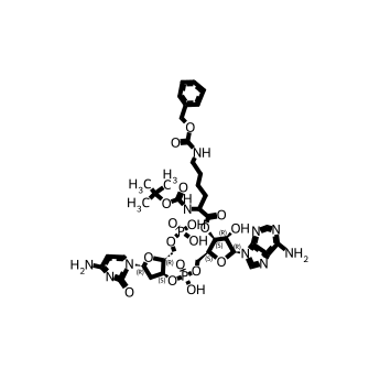 CC(C)(C)OC(=O)NC(CCCCNC(=O)OCc1ccccc1)C(=O)O[C@H]1[C@@H](O)[C@H](n2cnc3c(N)ncnc32)O[C@H]1COP(=O)(O)O[C@H]1C[C@H](n2ccc(N)nc2=O)O[C@@H]1COP(=O)(O)O